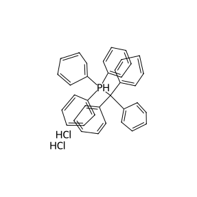 Cl.Cl.c1ccc(C(c2ccccc2)(c2ccccc2)[PH](c2ccccc2)(c2ccccc2)c2ccccc2)cc1